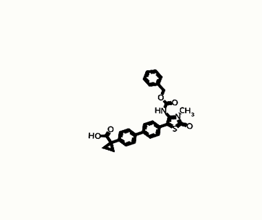 Cn1c(NC(=O)OCc2ccccc2)c(-c2ccc(-c3ccc(C4(C(=O)O)CC4)cc3)cc2)sc1=O